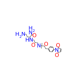 CN(CC(=O)CNC(CCN)C(N)=O)C(C)(C)C(=O)Cc1ccc(N2C(=O)C=CC2=O)cc1